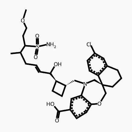 COCCC(C(C)C/C=C/C(O)[C@@H]1CC[C@H]1CN1C[C@@]2(CCCc3cc(Cl)ccc32)COc2ccc(C(=O)O)cc21)S(N)(=O)=O